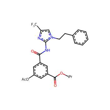 CC(=O)Oc1cc(C(=O)Nc2nc(C(F)(F)F)cn2CCc2ccccc2)cc(C(=O)OC(C)C)c1